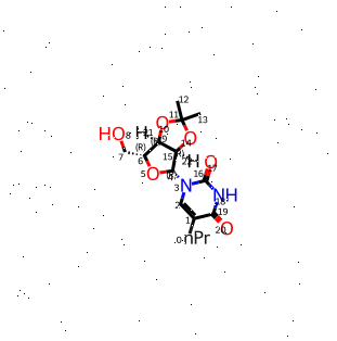 CCCc1cn([C@@H]2O[C@H](CO)[C@H]3OC(C)(C)O[C@H]32)c(=O)[nH]c1=O